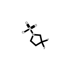 O=S(=O)(Cl)N1CCC(F)(F)C1